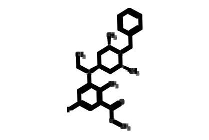 CCN(c1cc(F)cc(C(=O)OC)c1C)[C@@H]1C[C@@H](C)N(Cc2ccccc2)[C@@H](C)C1